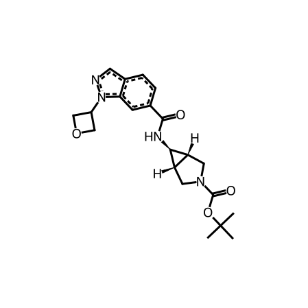 CC(C)(C)OC(=O)N1C[C@@H]2[C@H](C1)[C@H]2NC(=O)c1ccc2cnn(C3COC3)c2c1